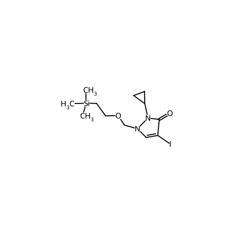 C[Si](C)(C)CCOCn1cc(I)c(=O)n1C1CC1